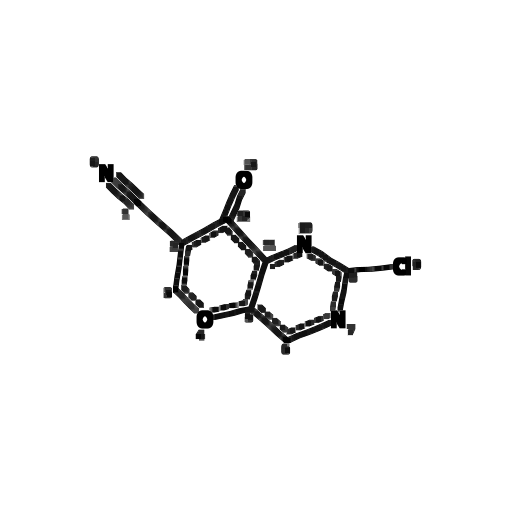 N#Cc1coc2cnc(Cl)nc2c1=O